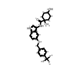 CC1(C(=O)Nc2c[nH]c3ccc(OCc4ccc(C(F)(F)F)cc4)cc23)CCC(O)CC1